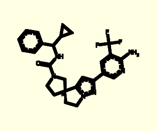 Nc1ncc(-c2cc3n(n2)CC[C@]32CCN(C(=O)NC(c3ccccc3)C3CC3)C2)cc1C(F)(F)F